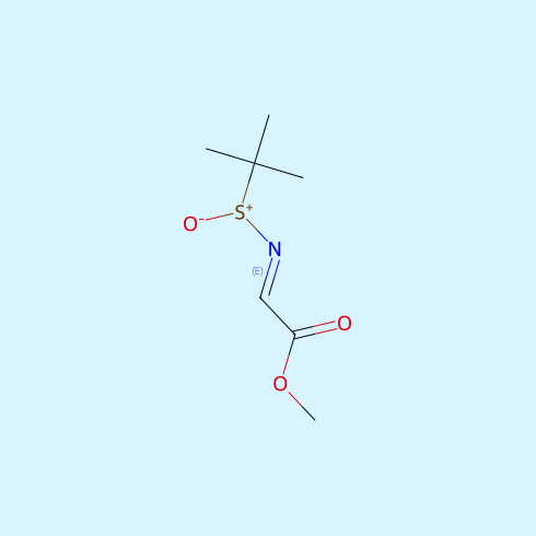 COC(=O)/C=N/[S+]([O-])C(C)(C)C